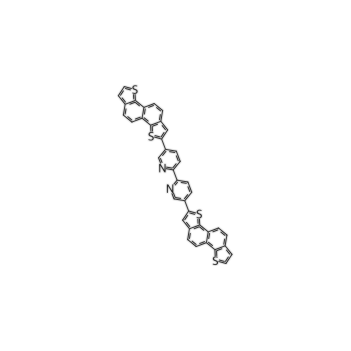 c1cc2ccc3c(ccc4cc(-c5ccc(-c6ccc(-c7cc8ccc9c(ccc%10ccsc%109)c8s7)cn6)nc5)sc43)c2s1